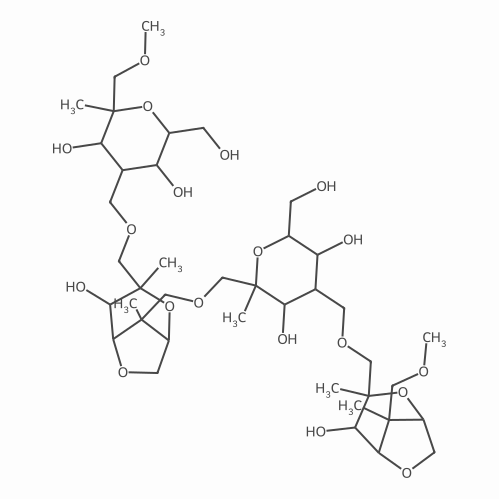 COCC1(C)OC(CO)C(O)C(COCC2(C)OC3COC(C2O)C3(C)COCC2(C)OC(CO)C(O)C(COCC3(C)OC4COC(C3O)C4(C)COC)C2O)C1O